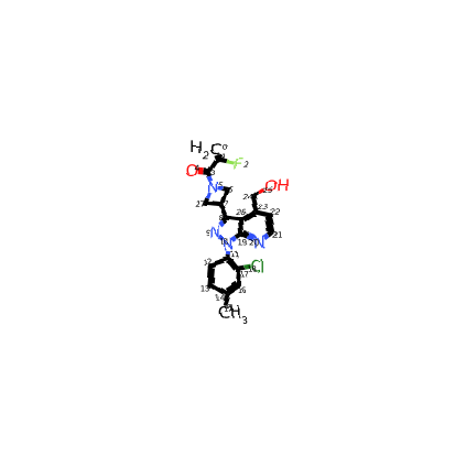 C=C(F)C(=O)N1CC(c2nn(-c3ccc(C)cc3Cl)c3nccc(CO)c23)C1